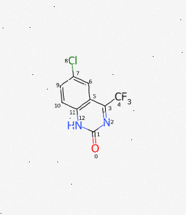 O=c1nc(C(F)(F)F)c2cc(Cl)ccc2[nH]1